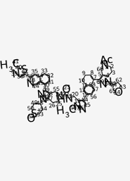 CC(=O)N1CCc2c(c(C3=CCCc4cc(-c5cnn(C)c5CNC(=O)N5CCc6c(c(-c7cccc8cc(-c9cnc(C)s9)ncc78)nn6C6CC[S+]([O-])CC6)C5)ccc43)nn2[C@H]2CCOC2)C1